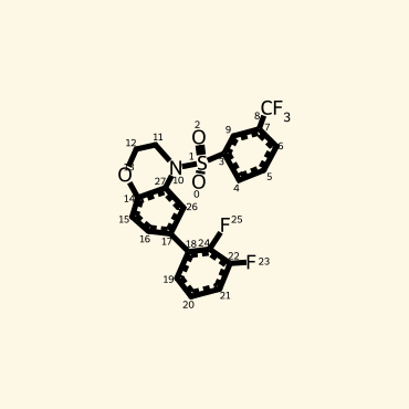 O=S(=O)(c1cccc(C(F)(F)F)c1)N1CCOc2ccc(-c3cccc(F)c3F)cc21